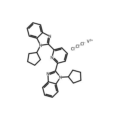 [Cl-].[Cl-].[Cl-].[V+3].c1cc(-c2nc3ccccc3n2C2CCCC2)nc(-c2nc3ccccc3n2C2CCCC2)c1